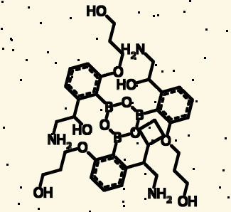 NCC(O)c1cccc(OCCCO)c1B1OB(c2c(OCCCO)cccc2C(O)CN)OB(c2c(OCCCO)cccc2C(CN)C2CCC2)O1